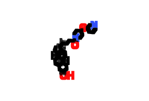 C[C@H](CCC(=O)N1CCC(Oc2cccnc2)CC1)[C@H]1CC[C@H]2[C@@H]3CC=C4C[C@@H](O)CC[C@]4(C)[C@H]3CC[C@]12C